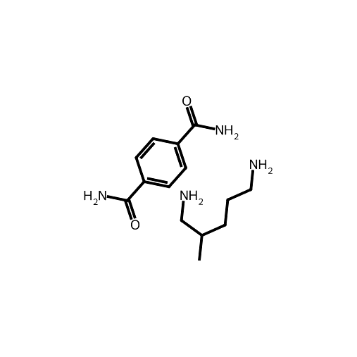 CC(CN)CCCN.NC(=O)c1ccc(C(N)=O)cc1